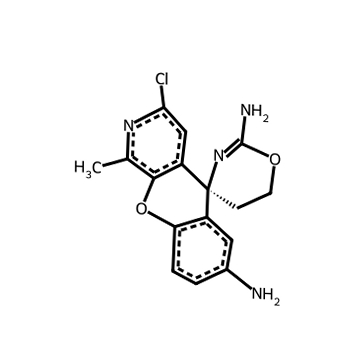 Cc1nc(Cl)cc2c1Oc1ccc(N)cc1[C@@]21CCOC(N)=N1